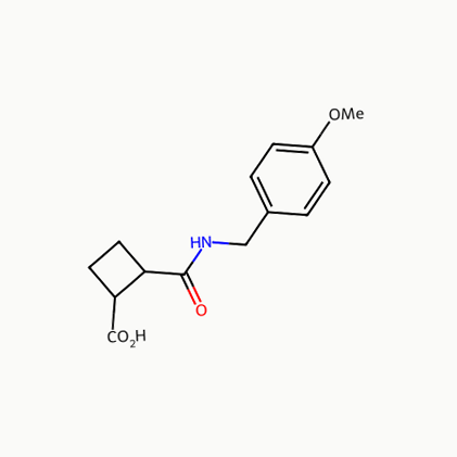 COc1ccc(CNC(=O)C2CCC2C(=O)O)cc1